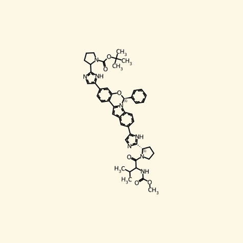 COC(=O)NC(C(=O)N1CCC[C@H]1c1ncc(-c2ccc3c(c2)cc2n3[C@H](c3ccccc3)Oc3cc(-c4cnc(C5CCCN5C(=O)OC(C)(C)C)[nH]4)ccc3-2)[nH]1)C(C)C